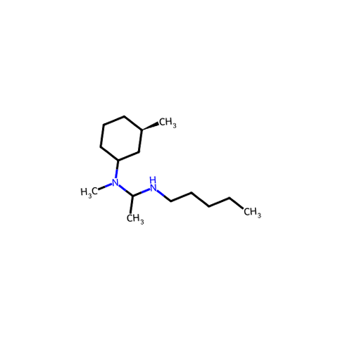 CCCCCNC(C)N(C)C1CCC[C@@H](C)C1